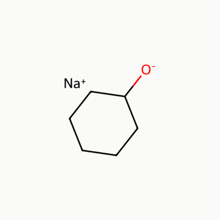 [Na+].[O-]C1CCCCC1